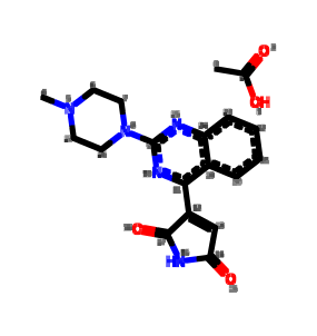 CC(=O)O.CN1CCN(c2nc(C3=CC(=O)NC3=O)c3ccccc3n2)CC1